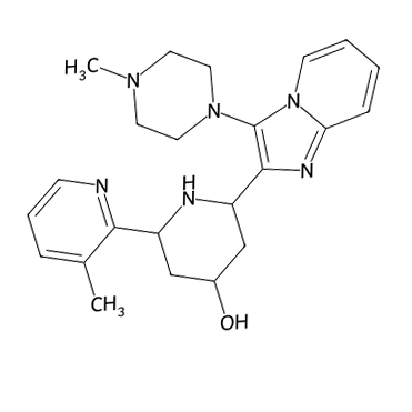 Cc1cccnc1C1CC(O)CC(c2nc3ccccn3c2N2CCN(C)CC2)N1